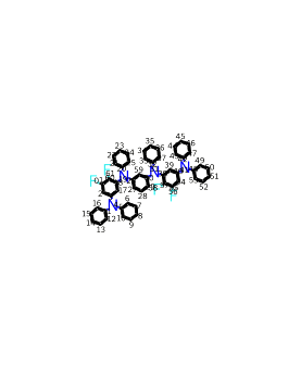 Fc1cc(N(c2ccccc2)c2ccccc2)cc(N(c2ccccc2)c2cccc(N(c3ccccc3)c3cc(N(c4ccccc4)c4ccccc4)cc(F)c3F)c2)c1F